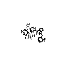 O=C(O)c1cnccc1Nc1nc(-c2nn(Cc3ccccc3F)c3c2CCC3)ncc1O